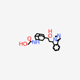 O=C(CO)NC1C2CC3CC1CC(C(O)CC1c4ccccc4-c4cncn41)(C3)C2